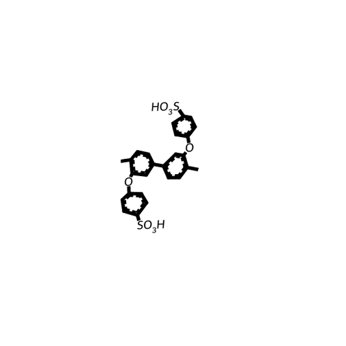 Cc1ccc(-c2ccc(C)c(Oc3ccc(S(=O)(=O)O)cc3)c2)cc1Oc1ccc(S(=O)(=O)O)cc1